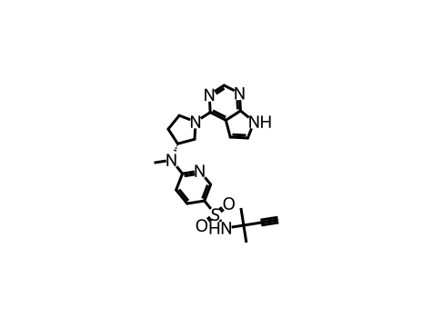 C#CC(C)(C)NS(=O)(=O)c1ccc(N(C)[C@@H]2CCN(c3ncnc4[nH]ccc34)C2)nc1